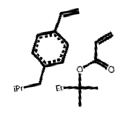 C=CC(=O)OC(C)(C)CC.C=Cc1ccc(CC(C)C)cc1